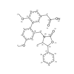 COc1ccc(-c2cc(CC(=O)O)ccc2OC)c(CN2C(=O)OC(c3ccccc3)C2C)c1